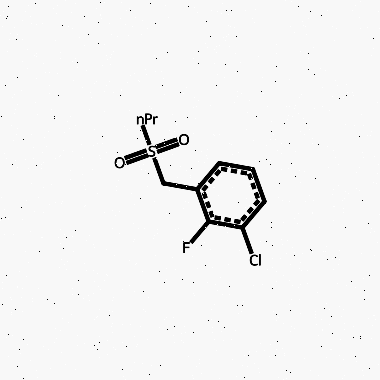 CCCS(=O)(=O)Cc1cccc(Cl)c1F